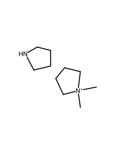 C1CCNC1.C[N+]1(C)CCCC1